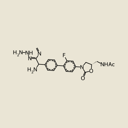 C=N/C(=N\NN)C(N)c1ccc(-c2ccc(N3C[C@H](CNC(C)=O)OC3=O)cc2F)cc1